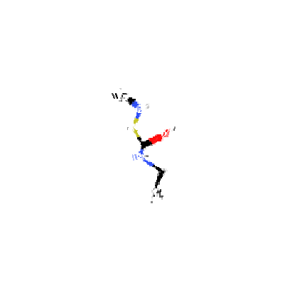 C=NSC(=O)NCC